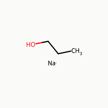 CCCO.[Na]